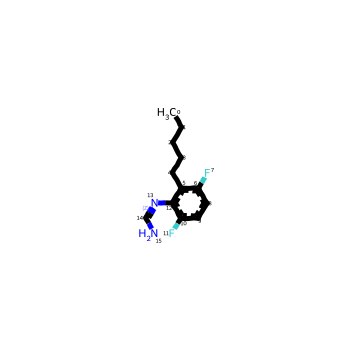 CCCCCc1c(F)ccc(F)c1/N=C\N